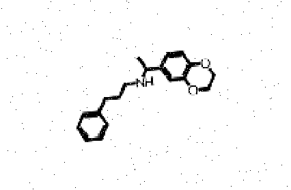 CC(NCCCc1ccccc1)c1ccc2c(c1)OCCO2